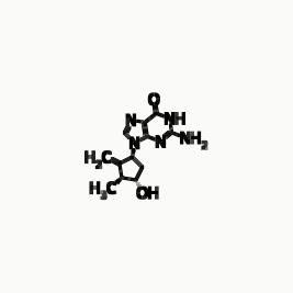 C=C1[C@H](C)[C@@H](O)C[C@@H]1n1cnc2c(=O)[nH]c(N)nc21